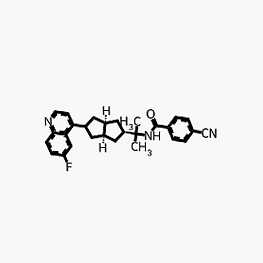 CC(C)(NC(=O)c1ccc(C#N)cc1)[C@H]1C[C@H]2CC(c3ccnc4ccc(F)cc34)C[C@H]2C1